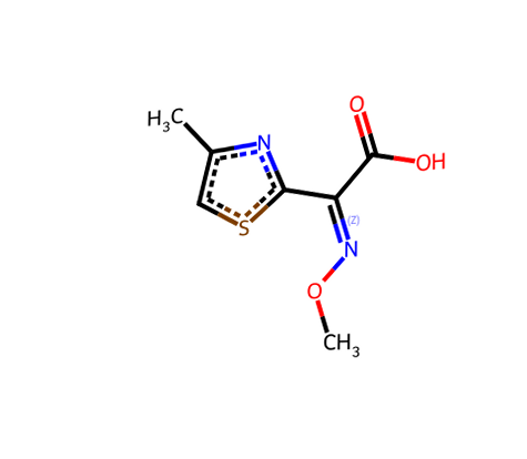 CO/N=C(/C(=O)O)c1nc(C)cs1